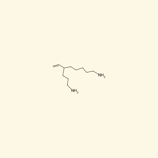 C=CC(CCCN)CCCCCN